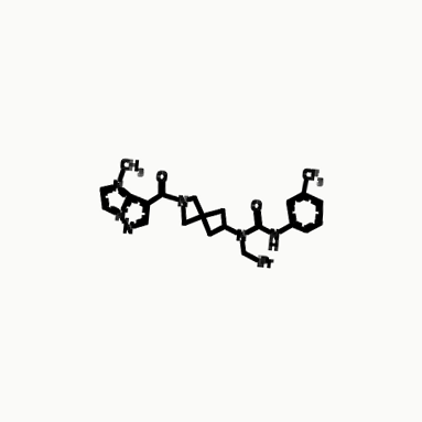 CC(C)CN(C(=O)Nc1cccc(C(F)(F)F)c1)C1CC2(C1)CN(C(=O)c1cnn3ccn(C)c13)C2